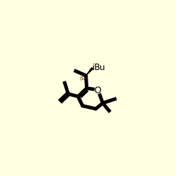 C=C(C)C1=C([C@@H](C)C(C)CC)OC(C)(C)CC1